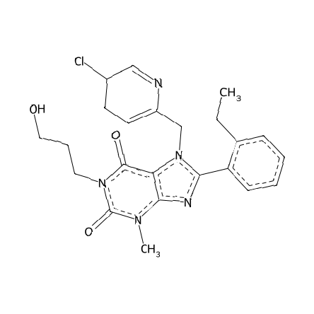 CCc1ccccc1-c1nc2c(c(=O)n(CCCO)c(=O)n2C)n1CC1=CCC(Cl)C=N1